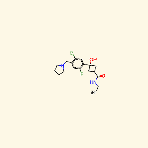 CC(C)CNC(=O)C1CC(O)(c2cc(Cl)c(CN3CCCC3)cc2F)C1